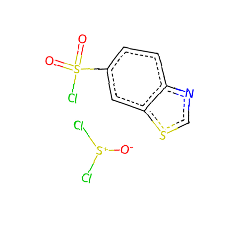 O=S(=O)(Cl)c1ccc2ncsc2c1.[O-][S+](Cl)Cl